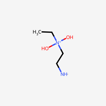 CC[N+](O)(O)CC[NH]